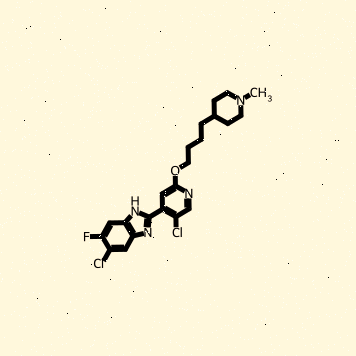 CN1CCC(CCCCOc2cc(-c3nc4cc(Cl)c(F)cc4[nH]3)c(Cl)cn2)CC1